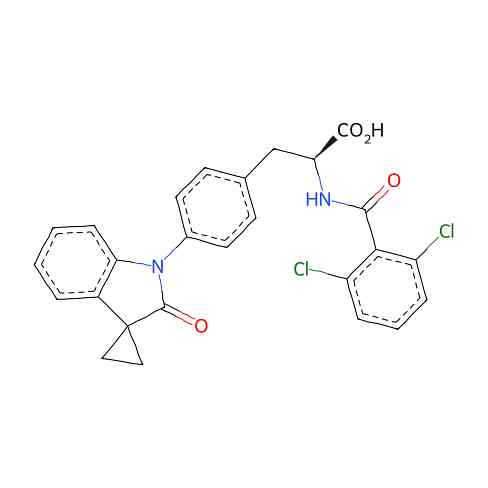 O=C(N[C@@H](Cc1ccc(N2C(=O)C3(CC3)c3ccccc32)cc1)C(=O)O)c1c(Cl)cccc1Cl